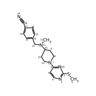 CSc1nccc(N2CCC(N(C)Cc3ccc(C#N)cc3)CC2)n1